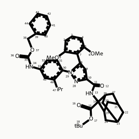 COc1cccc(OC)c1-c1cc(C(=O)NC2(C(=O)OC(C)(C)C)C3CC4CC(C3)CC2C4)nn1-c1ccc(NC(=O)OCc2ccccc2)cc1C(C)C